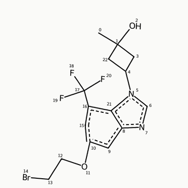 CC1(O)CC(n2cnc3cc(OCCBr)cc(C(F)(F)F)c32)C1